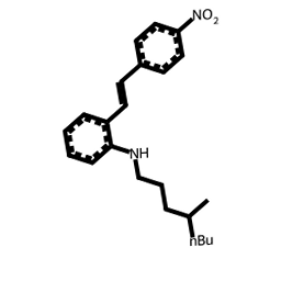 CCCCC(C)CCCNc1ccccc1C=Cc1ccc([N+](=O)[O-])cc1